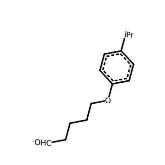 CC(C)c1ccc(OCCCC[C]=O)cc1